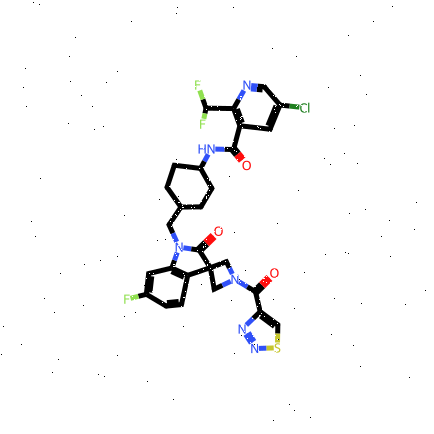 O=C(NC1CCC(CN2C(=O)C3(CN(C(=O)c4csnn4)C3)c3ccc(F)cc32)CC1)c1cc(Cl)cnc1C(F)F